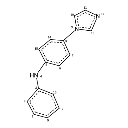 c1ccc(Nc2ccc(-n3ccnc3)cc2)cc1